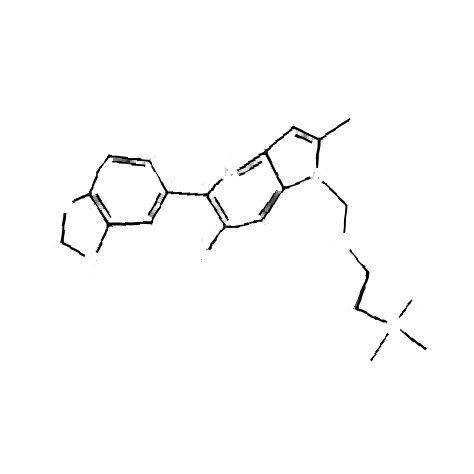 C[Si](C)(C)CCOCn1c(Cl)cc2nc(-c3ccc4c(c3)OCO4)c(Cl)cc21